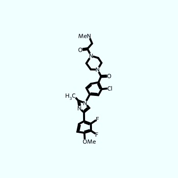 CNCC(=O)N1CCN(C(=O)c2ccc(-n3cc(-c4ccc(OC)c(F)c4F)nc3C)cc2Cl)CC1